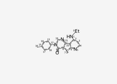 CCNc1ccnc2sc3c(=O)n(-c4ccc(C)cc4)cnc3c12